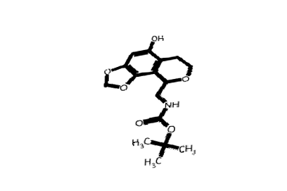 CC(C)(C)OC(=O)NCC1OCCc2c(O)cc3c(c21)OCO3